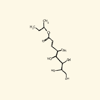 CCC(C)OC(=O)/C=C/C(O)C(O)C(O)C(O)CO